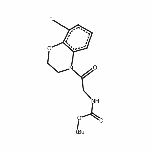 CC(C)(C)OC(=O)NCC(=O)N1CCOc2c(F)cccc21